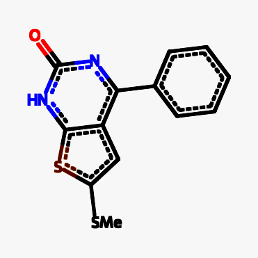 CSc1cc2c(-c3ccccc3)nc(=O)[nH]c2s1